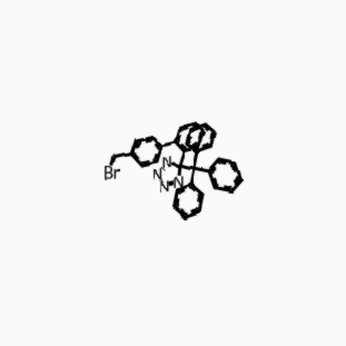 BrCc1ccc(-c2ccccc2C2(C(c3ccccc3)(c3ccccc3)c3ccccc3)N=NN=N2)cc1